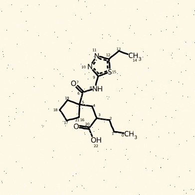 CCCC(CC1(C(=O)Nc2nnc(CC)s2)CCCC1)C(=O)O